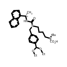 CCOC(OCC)c1ccc(CN(CCCCN(C(=O)O)C(C)(C)C)C(=O)N[C@@H](C)c2cccc3ccccc23)cc1